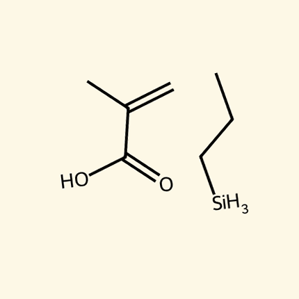 C=C(C)C(=O)O.CCC[SiH3]